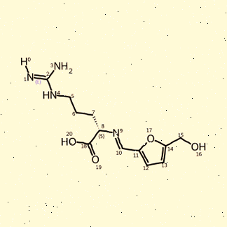 [H]/N=C(\N)NCCC[C@H](N=Cc1ccc(CO)o1)C(=O)O